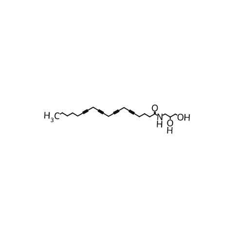 CCCCCC#CCC#CCC#CCC#CCCCC(=O)NCC(O)CO